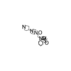 CN1CCC(N2CCN(C(=O)CNc3ccccc3S(C)(=O)=O)CC2)CC1